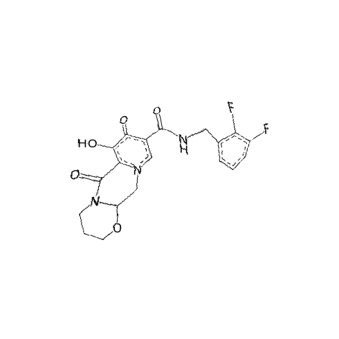 O=C(NCc1cccc(F)c1F)c1cn2c(c(O)c1=O)C(=O)N1CCCOC1C2